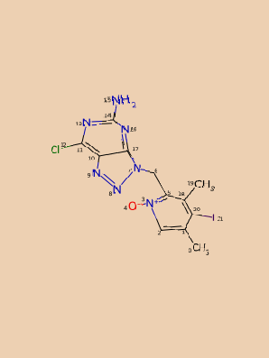 Cc1c[n+]([O-])c(Cn2nnc3c(Cl)nc(N)nc32)c(C)c1I